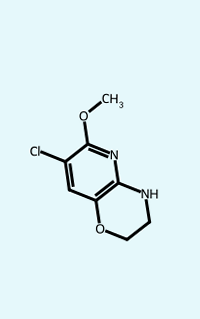 COc1nc2c(cc1Cl)OCCN2